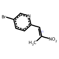 C/C(=C\c1ccc(Br)cn1)[N+](=O)[O-]